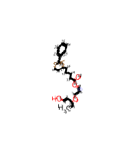 CCC(CCO)OC/C=C\OC(=O)CCCCC1CCSC(c2ccccc2)S1